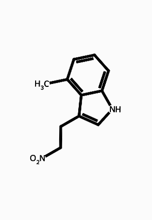 Cc1cccc2[nH]cc(CC[N+](=O)[O-])c12